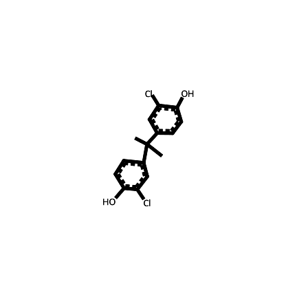 CC(C)(c1ccc(O)c(Cl)c1)c1ccc(O)c(Cl)c1